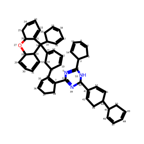 C1=CCC(C2=NC(C3=C(C4C=CC=C(C5(C6C=CC=CC6)C6=CC=CCC6OC6C=CC=CC65)C4)C=CCC3)=NC(C3=CCC(C4C=CC=CC4)C=C3)N2)C=C1